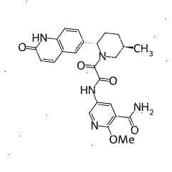 COc1ncc(NC(=O)C(=O)N2C[C@H](C)CC[C@H]2c2ccc3[nH]c(=O)ccc3c2)cc1C(N)=O